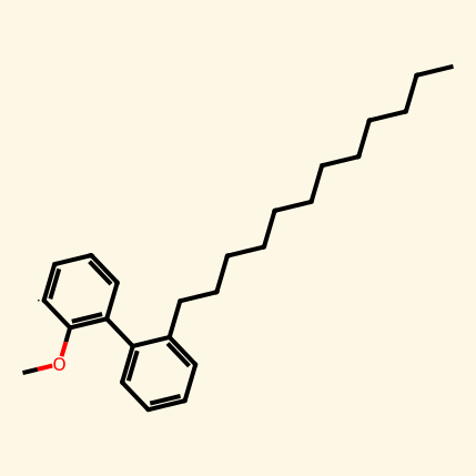 CCCCCCCCCCCCc1ccccc1-c1ccc[c]c1OC